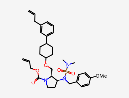 C=CCOC(=O)N1CC[C@H](N(Cc2ccc(OC)cc2)S(=O)(=O)N(C)C)[C@@H]1COC1CCC(c2cccc(CC=C)c2)CC1